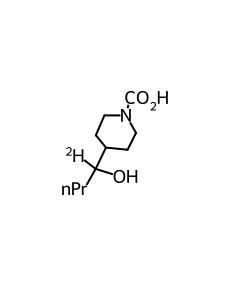 [2H]C(O)(CCC)C1CCN(C(=O)O)CC1